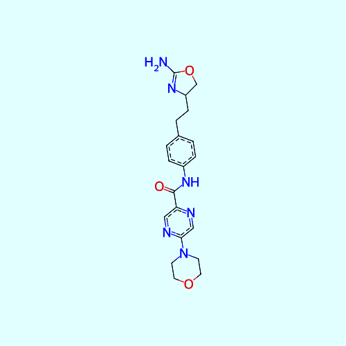 NC1=NC(CCc2ccc(NC(=O)c3cnc(N4CCOCC4)cn3)cc2)CO1